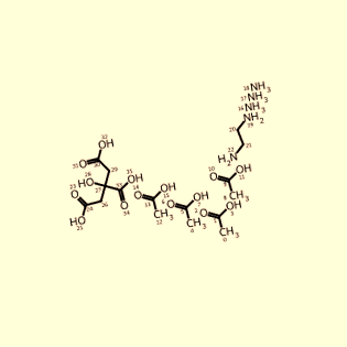 CC(=O)O.CC(=O)O.CC(=O)O.CC(=O)O.N.N.N.NCCN.O=C(O)CC(O)(CC(=O)O)C(=O)O